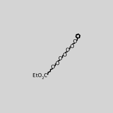 CCOC(=O)CCCCCOCCOCCOCCOCCOCCOCCOCc1ccccc1